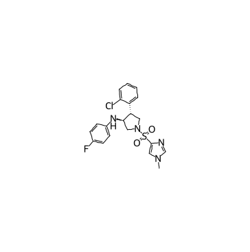 Cn1cnc(S(=O)(=O)N2C[C@@H](Nc3ccc(F)cc3)[C@H](c3ccccc3Cl)C2)c1